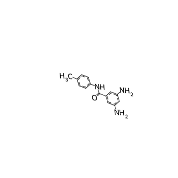 Cc1ccc(NC(=O)c2cc(N)cc(N)c2)cc1